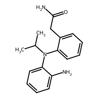 CC(C)N(c1ccccc1N)c1ccccc1CC(N)=O